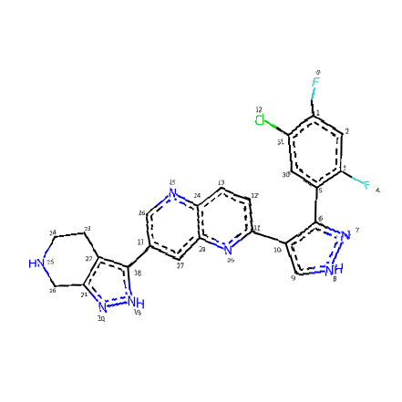 Fc1cc(F)c(-c2n[nH]cc2-c2ccc3ncc(-c4[nH]nc5c4CCNC5)cc3n2)cc1Cl